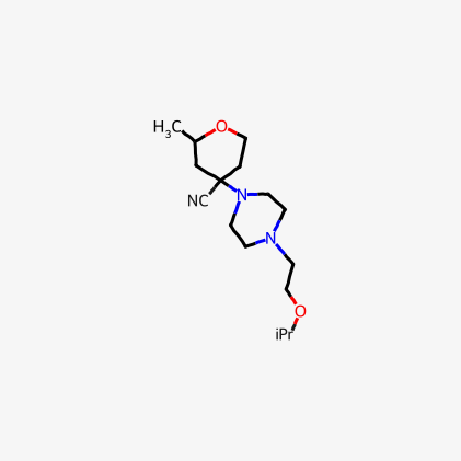 CC(C)OCCN1CCN(C2(C#N)CCOC(C)C2)CC1